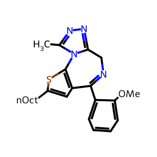 CCCCCCCCc1cc2c(s1)-n1c(C)nnc1CN=C2c1ccccc1OC